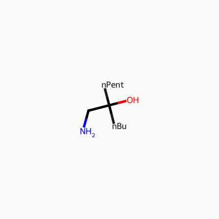 CCCCCC(O)(CN)CCCC